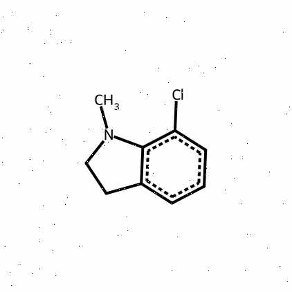 CN1CCc2cccc(Cl)c21